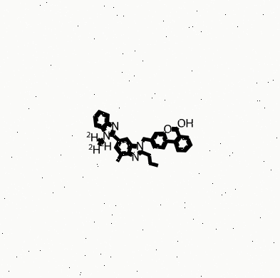 [2H]C([2H])([2H])n1c(-c2cc(C)c3nc(CCC)n(Cc4ccc(-c5ccccc5C(=O)O)cc4)c3c2)nc2ccccc21